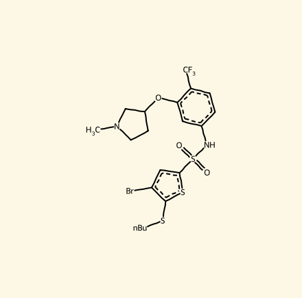 CCCCSc1sc(S(=O)(=O)Nc2ccc(C(F)(F)F)c(OC3CCN(C)C3)c2)cc1Br